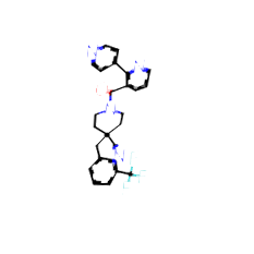 N#CC1(Cc2cccc(C(F)(F)F)c2)CCN(C(=O)c2cccnc2-c2ccncc2)CC1